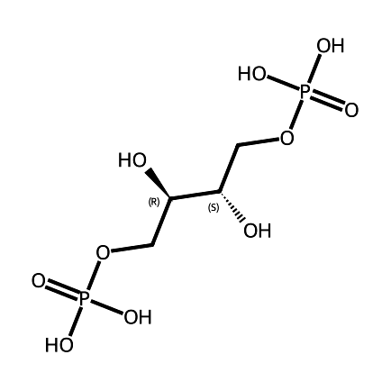 O=P(O)(O)OC[C@@H](O)[C@@H](O)COP(=O)(O)O